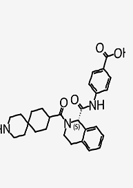 O=C(O)c1ccc(NC(=O)[C@@H]2c3ccccc3CCN2C(=O)C2CCC3(CCNCC3)CC2)cc1